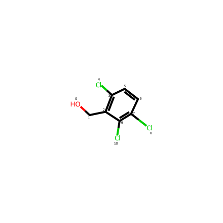 O[CH]c1c(Cl)ccc(Cl)c1Cl